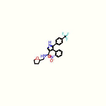 O=C(NCC1CCCO1)c1c[nH]c(-c2ccc(C(F)(F)F)cc2)c1-c1ccccc1[N+](=O)[O-]